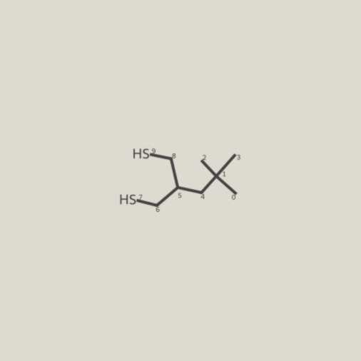 CC(C)(C)CC(CS)CS